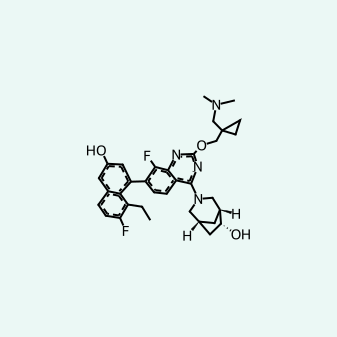 CCc1c(F)ccc2cc(O)cc(-c3ccc4c(N5C[C@@H]6C[C@H](C5)[C@H](O)C6)nc(OCC5(CN(C)C)CC5)nc4c3F)c12